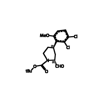 COc1ccc(Cl)c(Cl)c1[C@@H]1CCN(C(=O)OC(C)(C)C)[C@@H](C=O)C1